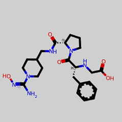 N/C(=N/O)N1CCC(CNC(=O)[C@@H]2CCCN2C(=O)[C@@H](Cc2ccccc2)NCC(=O)O)CC1